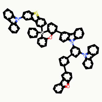 c1ccc([Si]2(c3ccc4sc5ccc(-n6c7ccccc7c7ccccc76)cc5c4c3)c3ccccc3Oc3c(-c4ccc5c(c4)c4ccccc4n5-c4cc(-c5cccc(-c6ccc7oc8ccccc8c7c6)c5)cc(-n5c6ccccc6c6ccccc65)c4)cccc32)cc1